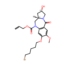 C=CCOC(=O)N1C[C@@H]2C[C@@H](O)CN2C(=O)c2cc(OC)c(OCCCCCBr)cc21